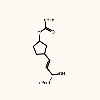 CCCCCCC(=O)OC1CCC(C=C[C@H](O)CCCCC)C1